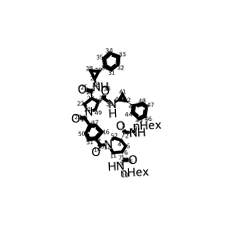 CCCCCCNC(=O)[C@@H]1C[C@H](C(=O)NCCCCCC)CN(C(=O)c2ccc(C(=O)N3C[C@@H](C(=O)N[C@H]4C[C@@H]4c4ccccc4)[C@H](C(=O)N[C@H]4C[C@@H]4c4ccccc4)C3)cc2)C1